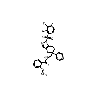 COc1ccccc1C(=O)NCC1(c2ccccc2)CCc2c(cnn2S(=O)(=O)c2ccc(F)c(F)c2F)C1